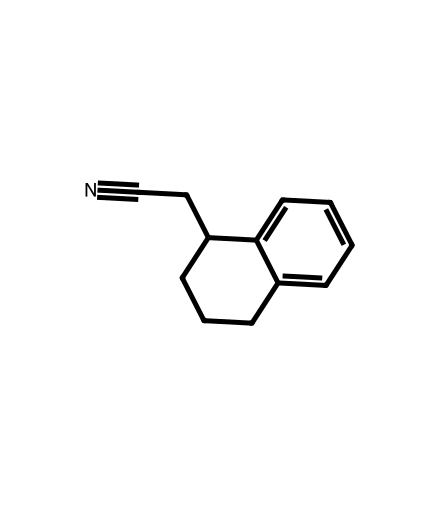 N#CCC1CCCc2ccccc21